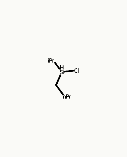 CCCC[SiH](Cl)C(C)C